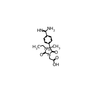 CCN1C(=O)N(CC(=O)O)C(=O)[C@@]1(C)c1ccc(C(=N)N)cc1